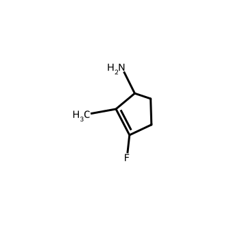 CC1=C(F)CCC1N